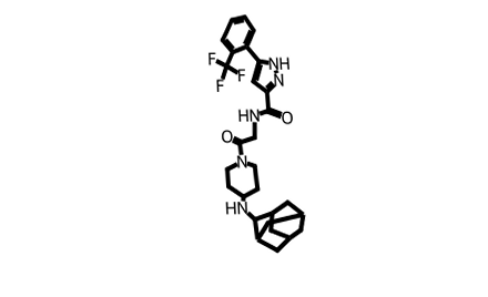 O=C(NCC(=O)N1CCC(NC2C3CC4CC(C3)CC2C4)CC1)c1cc(-c2ccccc2C(F)(F)F)[nH]n1